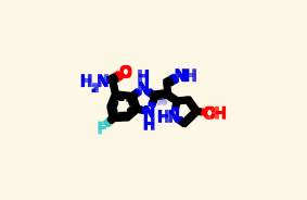 N=C/C(=C1/Nc2cc(F)cc(C(N)=O)c2N1)C1CC(O)CN1